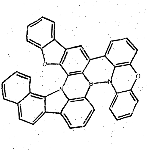 c1ccc2c(c1)Oc1cccc3c1N2B1c2c-3cc3c(oc4ccccc43)c2-n2c3c1cccc3c1ccc3ccccc3c12